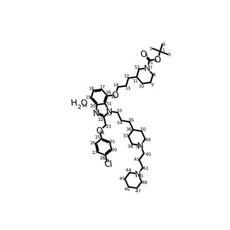 CC(C)(C)OC(=O)N1CCCC(CCCOc2cccc3nc(COc4ccc(Cl)cc4)n(CCCC4CCN(CCCN5CCCCC5)CC4)c23)C1.O